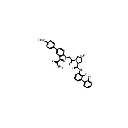 NC(=O)c1nn(CC(=O)N2C[C@H](F)C[C@H]2C(=O)Nc2cccc(-c3ccccc3Cl)c2F)c2ccc(-c3cnc(C=O)nc3)cc12